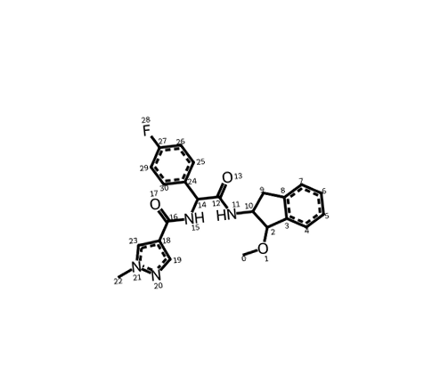 COC1c2ccccc2CC1NC(=O)C(NC(=O)c1cnn(C)c1)c1ccc(F)cc1